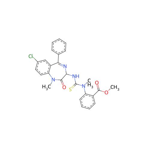 COC(=O)c1ccccc1N(C)C(=S)NC1N=C(c2ccccc2)c2cc(Cl)ccc2N(C)C1=O